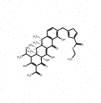 CCOC(=O)C1=CCC(Cc2ccc3c(c2O)C(=O)C2=C(O)[C@@]4(O)C(=O)C(C(C)=O)=C(O)C(C(C)C)[C@@]4(C)[C@H](O)[C@@]2(C)[C@@H]3C)=C1